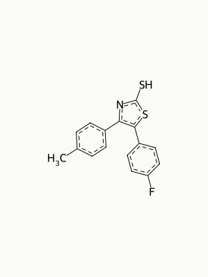 Cc1ccc(-c2nc(S)sc2-c2ccc(F)cc2)cc1